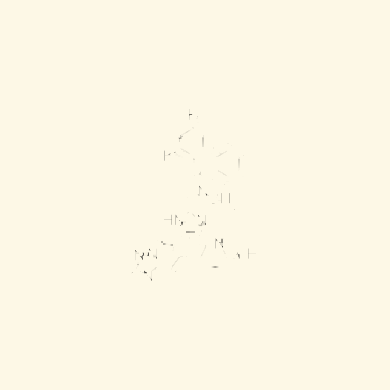 BN(Cc1nc(-c2cccc(C)n2)c(-c2ccc3ncnn3c2)[nH]1)Cc1ccccc1-c1cc(F)cc(F)c1